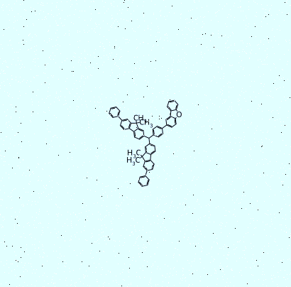 CC1(C)c2cc(-c3ccccc3)ccc2-c2ccc(C(c3ccc(-c4ccc5oc6ccccc6c5c4)cc3)c3ccc4c(c3)C(C)(C)c3cc(-c5ccccc5)ccc3-4)cc21